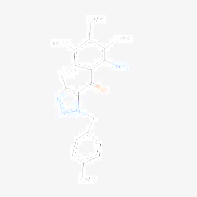 CCOC(=O)c1nnn(Cc2ccc(OC)cc2)c1C(=O)c1cc(OC)c(OC)c(OC)c1N